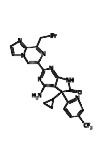 CC(C)Cc1nc(-c2nc(N)c3c(n2)NC(=O)C3(c2ccc(C(F)(F)F)cn2)C2CC2)cn2ccnc12